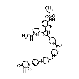 CCCS(=O)(=O)Nc1cccc(-c2nc(C3CCN(C(=O)C4CCN(CC5CCN(c6ccc([C@H]7CCC(=O)NC7=O)cc6)CC5)CC4)CC3)sc2-c2ccnc(NC)n2)c1F